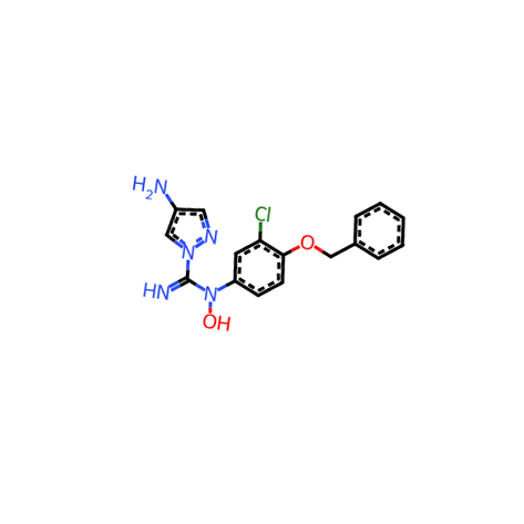 N=C(N(O)c1ccc(OCc2ccccc2)c(Cl)c1)n1cc(N)cn1